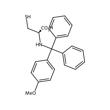 COc1ccc(C(N[C@@H](CS)C(=O)O)(c2ccccc2)c2ccccc2)cc1